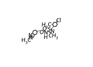 Cc1cc(Cl)ccc1-c1nc(C)c(NC(=O)OCc2ccc3nn(C)cc3c2)s1